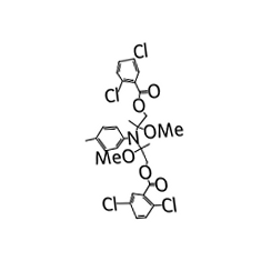 COC(C)(COC(=O)c1cc(Cl)ccc1Cl)N(c1ccc(C)cc1)C(C)(COC(=O)c1cc(Cl)ccc1Cl)OC